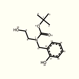 CC(C)(C)OC(=O)N(CCO)Cc1ccccc1O